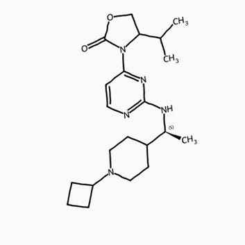 CC(C)C1COC(=O)N1c1ccnc(N[C@@H](C)C2CCN(C3CCC3)CC2)n1